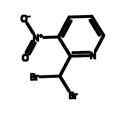 O=[N+]([O-])c1cccnc1C(Br)Br